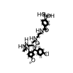 COc1ccc2c(c1)C(c1ccc(Cl)cc1)=N[C@@H](CC(=O)NCCCNC(=O)c1ccc(B(O)O)cc1)C1NNC(C)N21